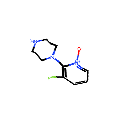 [O-][n+]1cccc(F)c1N1CCNCC1